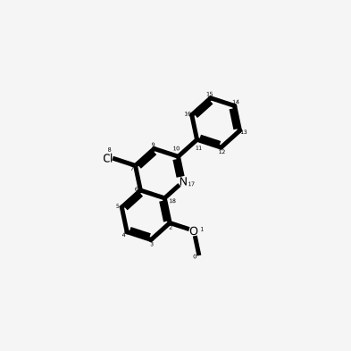 COc1cccc2c(Cl)cc(-c3ccccc3)nc12